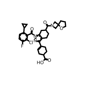 O=C(O)C1CC=C(c2nn(C(=O)c3c(C4CC4)ccc(F)c3Cl)c3c2CCC(C(=O)N2CC4(CCCO4)C2)C3)CC1